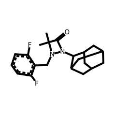 CC1(C)C(=O)N(C2C3CC4CC(C3)CC2C4)N1Cc1c(F)cccc1F